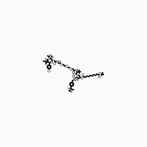 Cc1ncsc1-c1ccc(CNC(=O)[C@@H]2C[C@@H](OC(=O)CCCCCCCCC(=O)OC(C)(C)C)CN2C(=O)[C@@H](NC(=O)COCCOCCOCCNC(=O)C[C@@H]2N=C(c3ccc(Cl)cc3)c3c(sc(C)c3C)-n3c(C)nnc32)C(C)(C)C)cc1